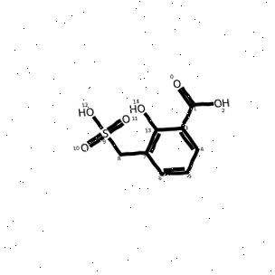 O=C(O)c1cccc(CS(=O)(=O)O)c1O